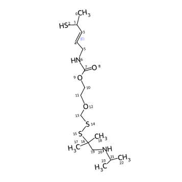 CC(S)/C=C/CNC(=O)OCCOCSSC(C)(C)CNC(C)C